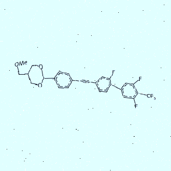 COCC1COC(c2ccc(C#Cc3ccc(-c4cc(F)c(C(F)(F)F)c(F)c4)c(F)c3)cc2)OC1